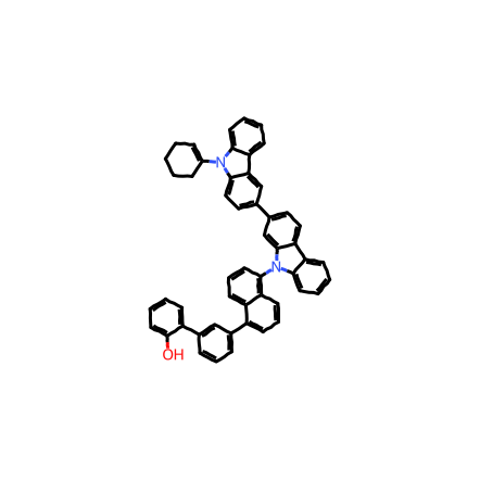 Oc1ccccc1-c1cccc(-c2cccc3c(-n4c5ccccc5c5ccc(-c6ccc7c(c6)c6ccccc6n7C6=CCCCC6)cc54)cccc23)c1